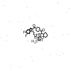 CNCC(=O)NC(C(=O)N1CCN(C(=O)c2cc3cc(F)c(F)cc3n2CCOC)CC1)C1CCCCC1